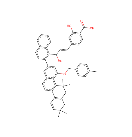 Cc1ccc(COc2cc(-c3ccc4ccccc4c3C(O)C=Cc3ccc(C(=O)O)c(O)c3)cc3ccc4c(c23)C(C)(C)CC2=C4C=CC(C)(C)C2)cc1